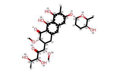 CO[C@@H]1C(=O)c2c(cc3cc(O[C@H]4CC[C@H](O)C(C)O4)c(C)c(O)c3c2O)CC1[C@H](OC)C(=O)[C@@H](O)[C@@H](C)O